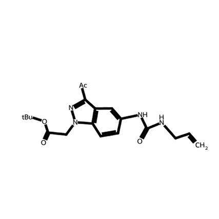 C=CCNC(=O)Nc1ccc2c(c1)c(C(C)=O)nn2CC(=O)OC(C)(C)C